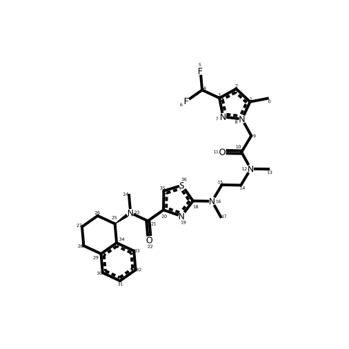 Cc1cc(C(F)F)nn1CC(=O)N(C)CCN(C)c1nc(C(=O)N(C)[C@@H]2CCCc3ccccc32)cs1